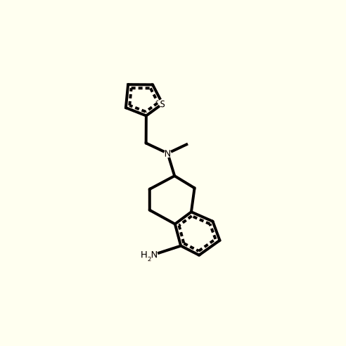 CN(Cc1cccs1)C1CCc2c(N)cccc2C1